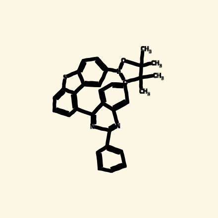 CC1(C)OB(c2ccc3sc4cccc(-c5nc(-c6ccccc6)nc6ccccc56)c4c3c2)OC1(C)C